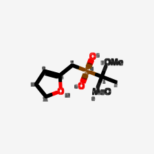 COC(C)(OC)S(=O)(=O)CC1=CCCO1